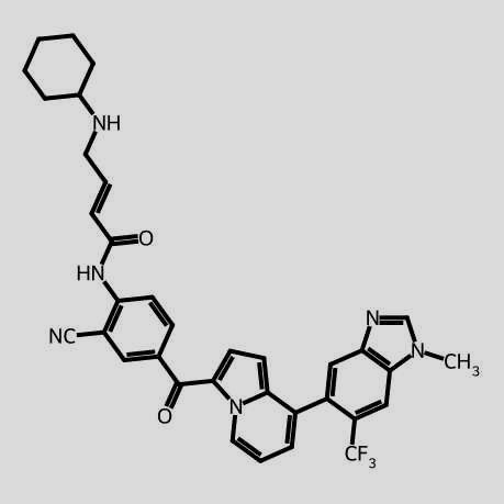 Cn1cnc2cc(-c3cccn4c(C(=O)c5ccc(NC(=O)/C=C/CNC6CCCCC6)c(C#N)c5)ccc34)c(C(F)(F)F)cc21